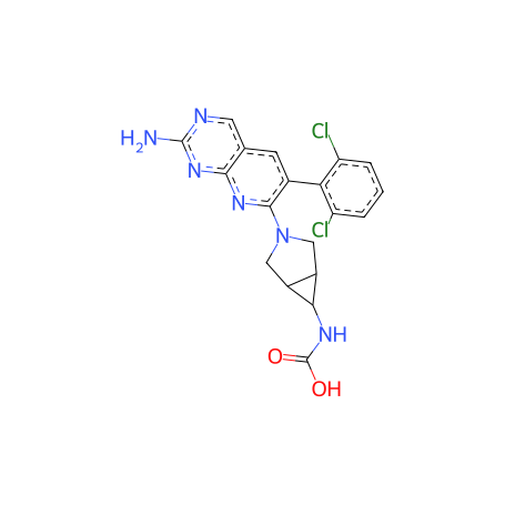 Nc1ncc2cc(-c3c(Cl)cccc3Cl)c(N3CC4C(C3)C4NC(=O)O)nc2n1